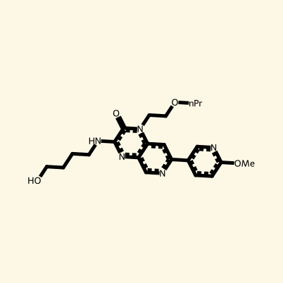 CCCOCCn1c(=O)c(NCCCCO)nc2cnc(-c3ccc(OC)nc3)cc21